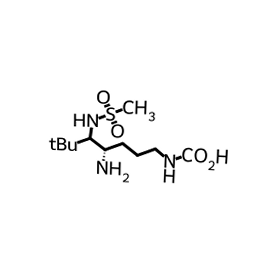 CC(C)(C)C(NS(C)(=O)=O)[C@@H](N)CCCNC(=O)O